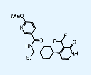 CCC(NC(=O)c1ccc(OC)nc1)[C@H]1CC[C@@H](c2cc[nH]c(=O)c2C(F)F)CC1